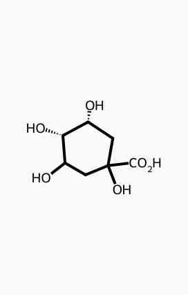 O=C(O)C1(O)CC(O)[C@H](O)[C@H](O)C1